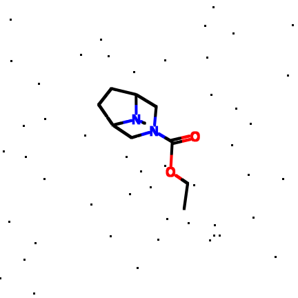 CCOC(=O)N1CC2CCC(C1)N2C